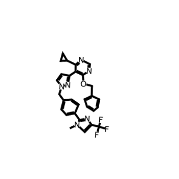 Cn1cc(C(F)(F)F)nc1-c1ccc(Cn2ccc(-c3c(OCc4ccccc4)ncnc3C3CC3)n2)cc1